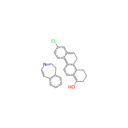 C1=Cc2ccccc2CC=N1.OC1=c2ccc3c(c2CCC1)CC=c1cc(Cl)ccc1=3